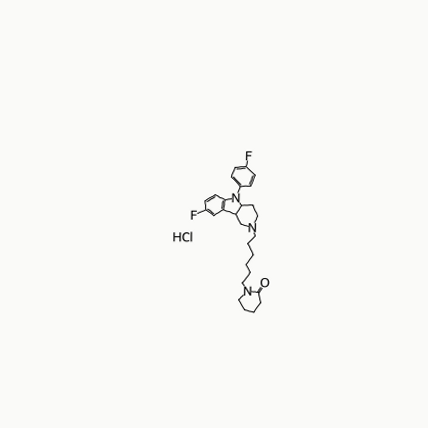 Cl.O=C1CCCCN1CCCCCCN1CCC2C(C1)c1cc(F)ccc1N2c1ccc(F)cc1